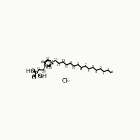 CCCCCCCCCCCCCCCCn1cc[n+](CCP(=O)(O)O)c1.[Cl-]